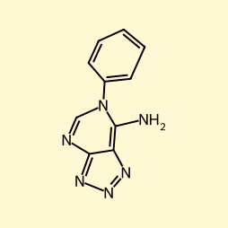 Nc1c2nnnc-2ncn1-c1ccccc1